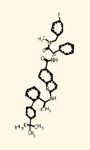 CC(Nc1ccc2cc(C(=O)N[C@H](C(=O)N(C)Cc3ccc(F)cc3)c3ccccc3)ccc2n1)c1ccccc1-c1ccc(C(C)(C)C)cc1